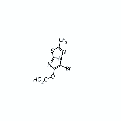 O=C(O)Oc1nc2sc(C(F)(F)F)nn2c1Br